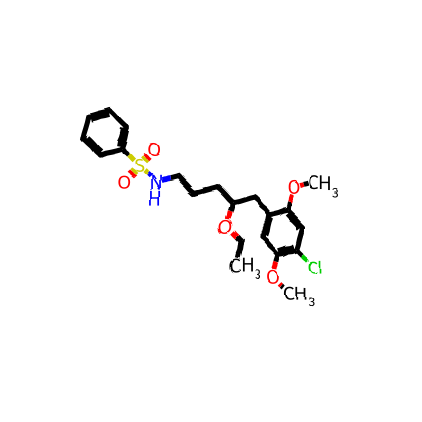 CCOC(CCCNS(=O)(=O)c1ccccc1)Cc1cc(OC)c(Cl)cc1OC